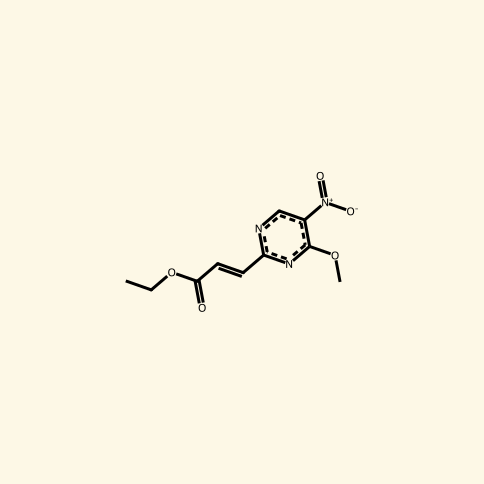 CCOC(=O)/C=C/c1ncc([N+](=O)[O-])c(OC)n1